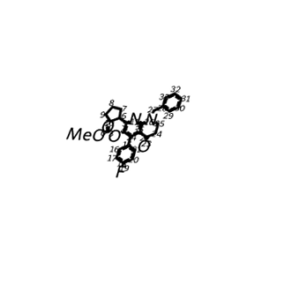 COC(=O)Oc1c(C2CCCC2)nc2c(c1-c1ccc(F)cc1)C(=O)CCN2Cc1ccccc1